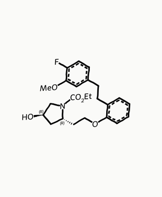 CCOC(=O)N1C[C@H](O)C[C@H]1CCOc1ccccc1CCc1ccc(F)c(OC)c1